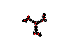 c1ccc2c(c1)oc1cc3c(cc12)c1ccccc1n3-c1ccc(-c2ccc(-c3nc(-c4ccc(-c5ccc(-n6c7ccccc7c7cc8c(cc76)oc6ccccc68)cc5)cc4)nc(-c4ccc(-c5ccc(-n6c7ccccc7c7cc8c(cc76)oc6ccccc68)cc5)cc4)n3)cc2)cc1